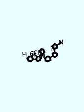 C[Si]1(C)c2ccccc2-c2ccc3c(c21)c1ccccc1n3-c1cccc(-c2cccc(-c3cc(C#N)ccn3)c2)c1